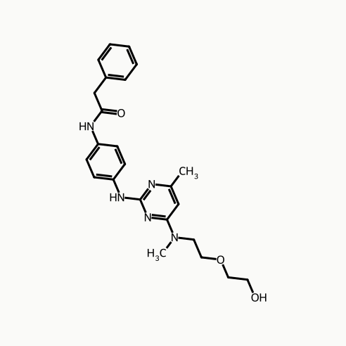 Cc1cc(N(C)CCOCCO)nc(Nc2ccc(NC(=O)Cc3ccccc3)cc2)n1